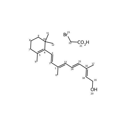 CC(C=CC1=C(C)CCCC1(C)C)=CC=CC(C)=CCO.O=C(O)CBr